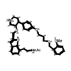 COc1ccccc1COCCCOc1ccc(C2CCNCC2OCc2cc3cccc(CCNC(C)=O)c3o2)cc1